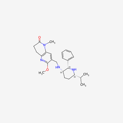 COc1nc2c(cc1CN[C@H]1CC[C@@H](C(C)C)N[C@H]1c1ccccc1)N(C)C(=O)CC2